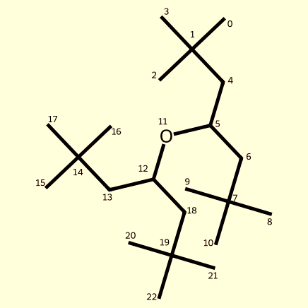 CC(C)(C)CC(CC(C)(C)C)OC(CC(C)(C)C)CC(C)(C)C